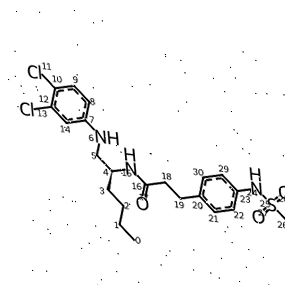 CCCC[C@@H](CNc1ccc(Cl)c(Cl)c1)NC(=O)CCc1ccc(NS(C)(=O)=O)cc1